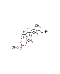 CC(C)CCC[C@@H](C)[C@H]1CC[C@H]2[C@@H]3CCC4CC(OC=O)CC[C@]4(C)[C@H]3CC[C@]12C